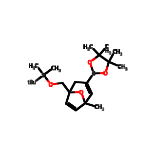 CC12C=CC(CO[Si](C)(C)C(C)(C)C)(CC(B3OC(C)(C)C(C)(C)O3)=C1)O2